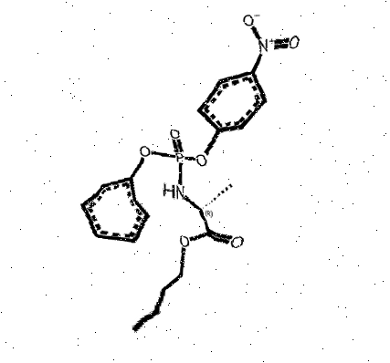 CCCCOC(=O)[C@@H](C)NP(=O)(Oc1ccccc1)Oc1ccc([N+](=O)[O-])cc1